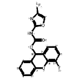 O=C(Nc1nc(C(F)(F)F)co1)OC1c2ccccc2Oc2c(F)cccc21